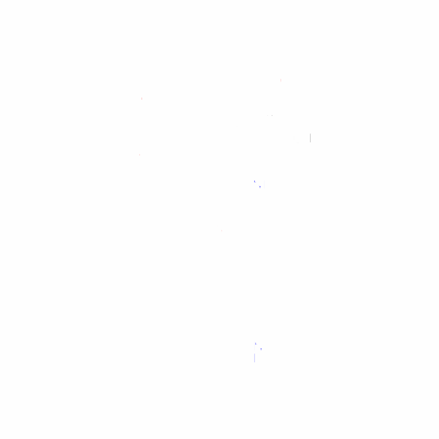 CC(=O)c1cc2c(cc1NC(=O)CC1CCNCC1)OCO2